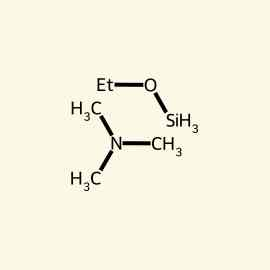 CN(C)C.[CH2]CO[SiH3]